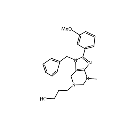 COc1cccc(-c2nc3c(n2Cc2ccccc2)CN(CCCO)CN3C)c1